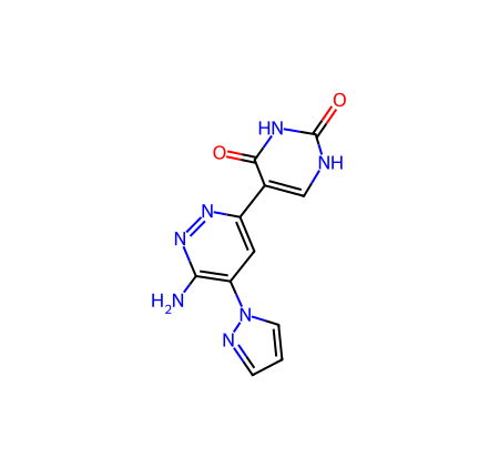 Nc1nnc(-c2c[nH]c(=O)[nH]c2=O)cc1-n1cccn1